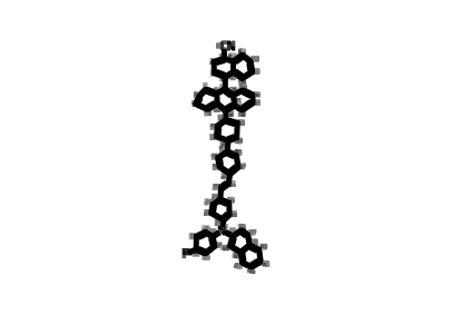 N#Cc1ccc(-c2c3ccccc3c(-c3ccc(-c4ccc(/C=C/c5ccc(N(c6ccc(F)cc6)c6ccc7ccccc7c6)cc5)cc4)cc3)c3ccccc23)c2ccccc12